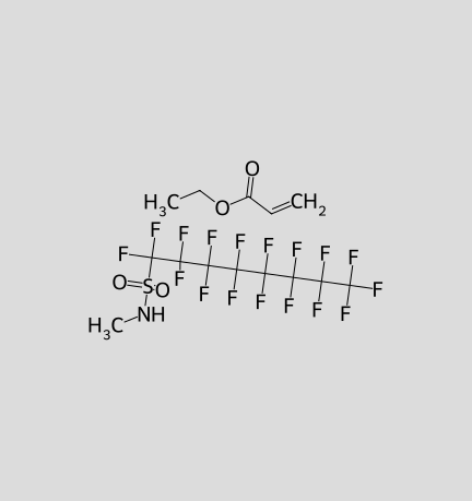 C=CC(=O)OCC.CNS(=O)(=O)C(F)(F)C(F)(F)C(F)(F)C(F)(F)C(F)(F)C(F)(F)C(F)(F)C(F)(F)F